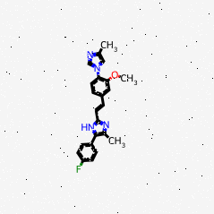 COc1cc(/C=C/c2nc(C)c(-c3ccc(F)cc3)[nH]2)ccc1-n1cnc(C)c1